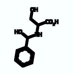 O=C(O)C(CO)NC(O)c1ccccc1